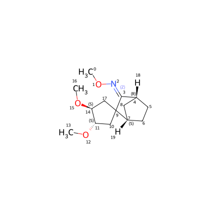 CO/N=C1/[C@@H]2CC[C@@H](C2)C12C[C@H](OC)[C@@H](OC)C2